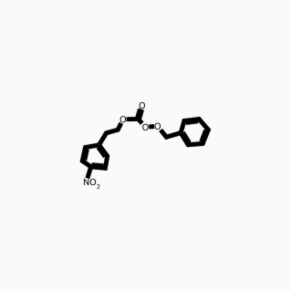 O=C(OCCc1ccc([N+](=O)[O-])cc1)OOCc1ccccc1